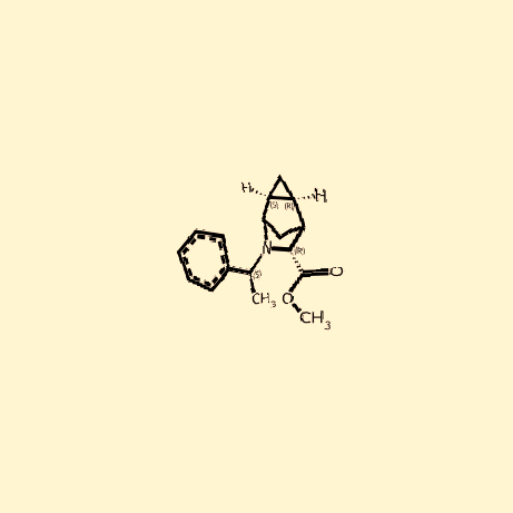 COC(=O)[C@H]1C2CC([C@H]3C[C@@H]23)N1[C@@H](C)c1ccccc1